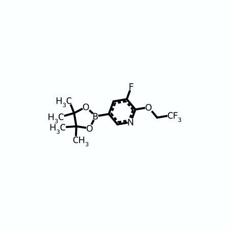 CC1(C)OB(c2cnc(OCC(F)(F)F)c(F)c2)OC1(C)C